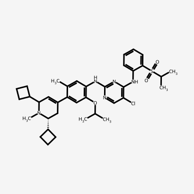 Cc1cc(Nc2ncc(Cl)c(Nc3ccccc3S(=O)(=O)C(C)C)n2)c(OC(C)C)cc1C1=CC(C2CCC2)N(C)[C@@H](C2CCC2)C1